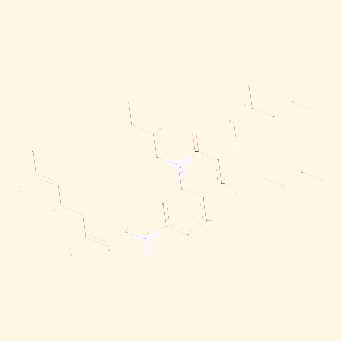 CCCCOc1c(OCC(C)CCC)c(=O)n(CCCC)c2cc(NCC=C(C)CCC=C(C)C)ccc12